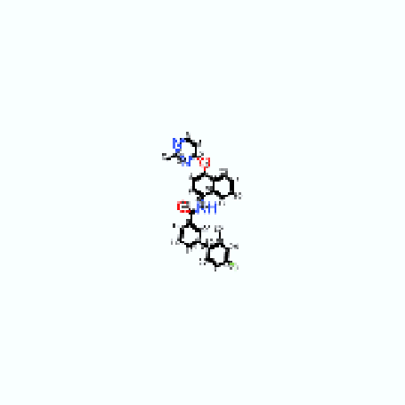 Cc1nccc(Oc2ccc(NC(=O)c3cccc(-c4ccc(F)cc4C)c3)c3ccccc23)n1